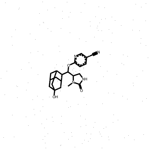 CN1C(=O)NCC1C(Oc1ccc(C#N)cn1)C1C2CC3CC1CC(O)(C3)C2